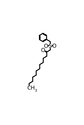 CCCCCCCCCCCC(=O)CS(=O)(=O)Cc1ccccc1